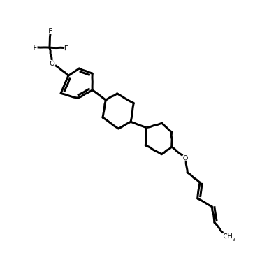 CC=CC=CCOC1CCC(C2CCC(c3ccc(OC(F)(F)F)cc3)CC2)CC1